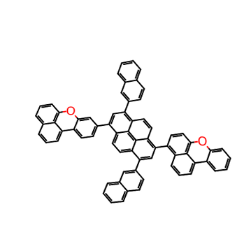 c1ccc2c(c1)Oc1ccc(-c3cc(-c4ccc5ccccc5c4)c4ccc5c(-c6ccc7c(c6)Oc6cccc8cccc-7c68)cc(-c6ccc7ccccc7c6)c6ccc3c4c56)c3cccc-2c13